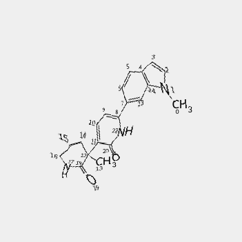 Cn1ccc2ccc(-c3ccc(C4(C)CCCNC4=O)c(=O)[nH]3)cc21